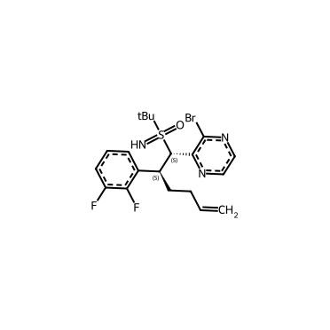 C=CCC[C@@H](c1cccc(F)c1F)[C@@H](c1nccnc1Br)S(=N)(=O)C(C)(C)C